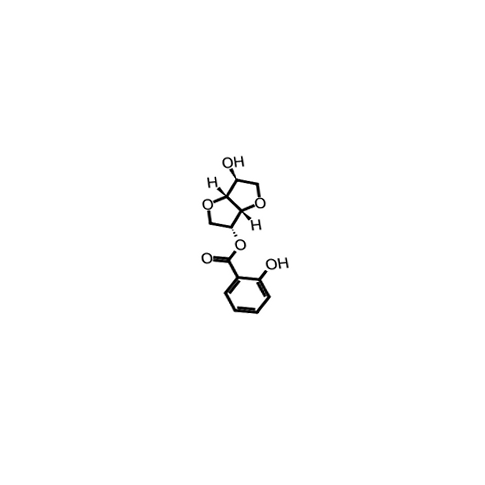 O=C(O[C@@H]1CO[C@H]2[C@@H]1OC[C@@H]2O)c1ccccc1O